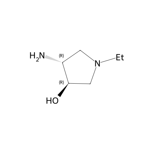 CCN1C[C@@H](N)[C@H](O)C1